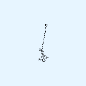 CCC=CCC=CCC=CCC=CCC=CCCCC(=O)N1CCN(C(=O)Nc2c(C(C)C)cccc2C(C)C)CC1